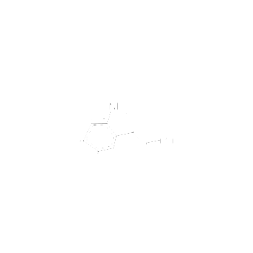 CCC(C)OCc1ccc[c]c1N